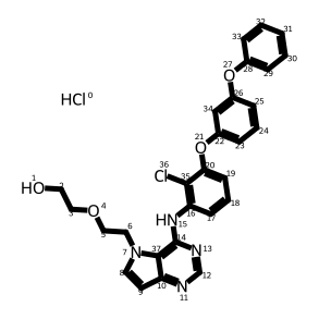 Cl.OCCOCCn1ccc2ncnc(Nc3cccc(Oc4cccc(Oc5ccccc5)c4)c3Cl)c21